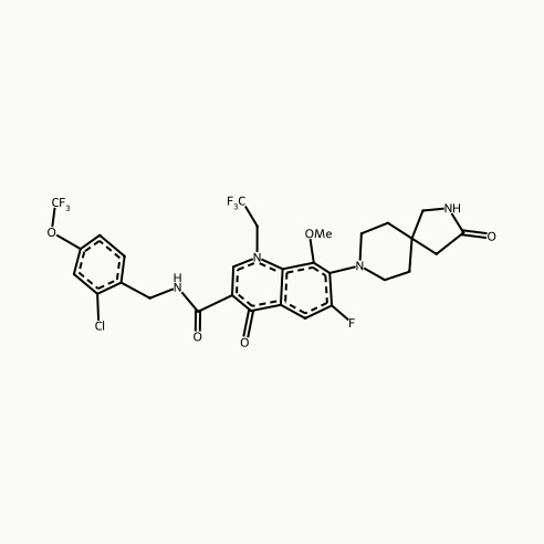 COc1c(N2CCC3(CC2)CNC(=O)C3)c(F)cc2c(=O)c(C(=O)NCc3ccc(OC(F)(F)F)cc3Cl)cn(CC(F)(F)F)c12